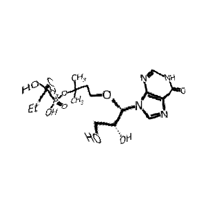 CCC(C)(O)P(=O)(O)OC(C)(C)CCO[C@H]([C@H](O)CO)n1cnc2c(=O)[nH]cnc21